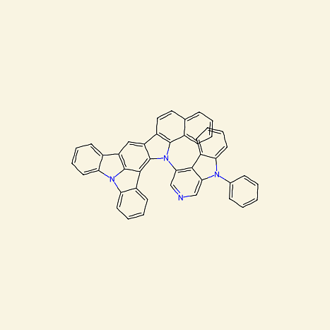 c1ccc(-n2c3ccccc3c3c(-n4c5c6ccccc6ccc5c5cc6c7ccccc7n7c8ccccc8c(c54)c67)cncc32)cc1